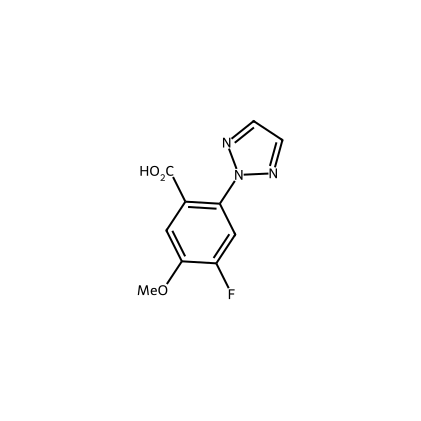 COc1cc(C(=O)O)c(-n2nccn2)cc1F